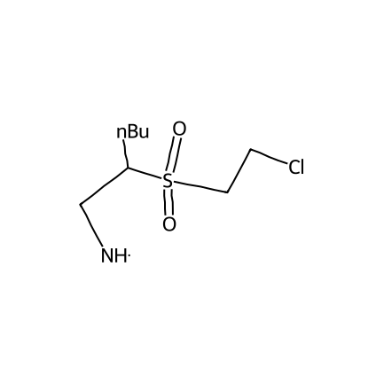 CCCCC(C[NH])S(=O)(=O)CCCl